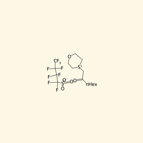 CCCCCCC(=O)C[S+]1CCOCC1.O=S(=O)([O-])C(F)(F)C(F)(F)C(F)(F)C(F)(F)F